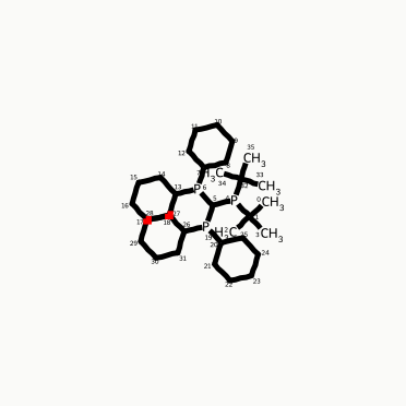 CC(C)(C)P(C(P(C1CCCCC1)C1CCCCC1)P(C1CCCCC1)C1CCCCC1)C(C)(C)C